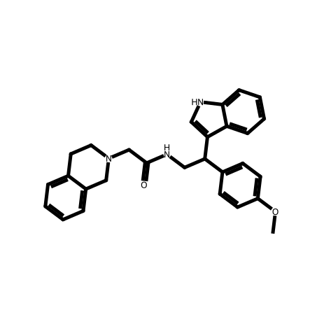 COc1ccc(C(CNC(=O)CN2CCc3ccccc3C2)c2c[nH]c3ccccc23)cc1